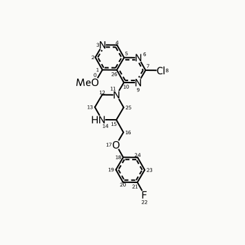 COc1cncc2nc(Cl)nc(N3CCNC(COc4ccc(F)cc4)C3)c12